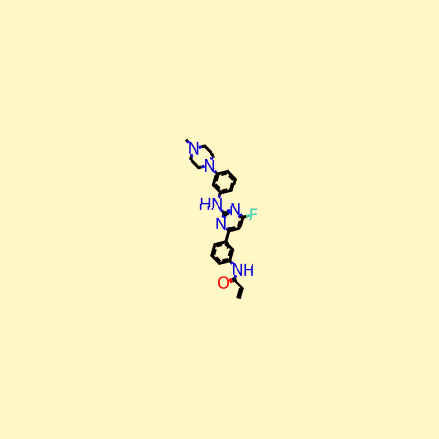 C=CC(=O)Nc1cccc(-c2cc(F)nc(Nc3cccc(N4CCN(C)CC4)c3)n2)c1